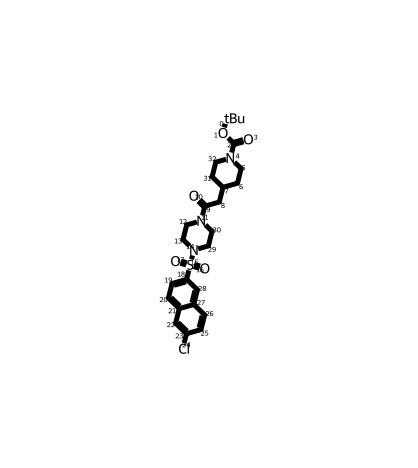 CC(C)(C)OC(=O)N1CCC(CC(=O)N2CCN(S(=O)(=O)c3ccc4cc(Cl)ccc4c3)CC2)CC1